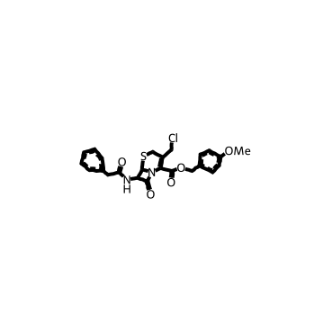 COc1ccc(COC(=O)C2=C(CCl)CSC3C(NC(=O)Cc4ccccc4)C(=O)N23)cc1